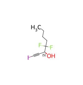 CCCCC(F)(F)[C@@H](O)C#CI